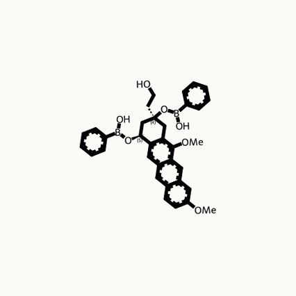 COc1ccc2cc3cc4c(c(OC)c3cc2c1)C[C@](CCO)(OB(O)c1ccccc1)C[C@@H]4OB(O)c1ccccc1